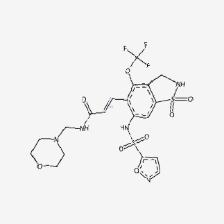 O=C(/C=C/c1c(NS(=O)(=O)c2ccno2)cc2c(c1OC(F)(F)F)CNS2(=O)=O)NCN1CCOCC1